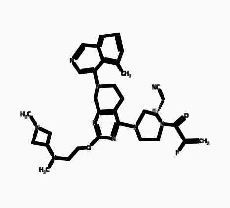 C=C(F)C(=O)N1CCN(c2nc(OCCN(C)C3CN(C)C3)nc3c2CCN(c2cncc4cccc(C)c24)C3)C[C@@H]1CC#N